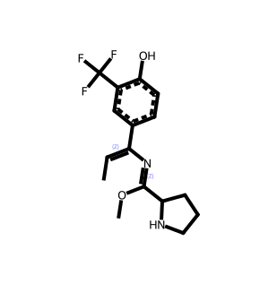 C/C=C(\N=C(/OC)C1CCCN1)c1ccc(O)c(C(F)(F)F)c1